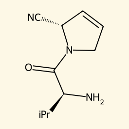 CC(C)[C@H](N)C(=O)N1CC=C[C@H]1C#N